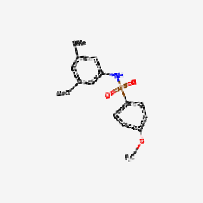 COc1cc(NS(=O)(=O)c2ccc(OC(F)(F)F)cc2)cc(OC)c1